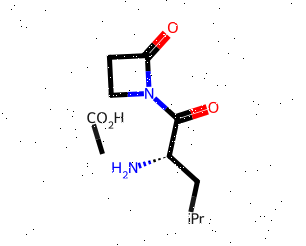 CC(=O)O.CC(C)C[C@H](N)C(=O)N1CCC1=O